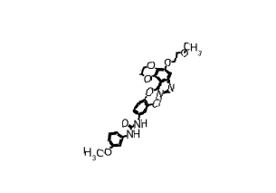 COCCOc1cc2ncnc(Oc3ccc(NC(=O)Nc4cccc(OC)c4)cc3Cl)c2c2c1OCCO2